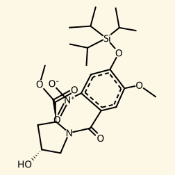 COC(=O)[C@@H]1C[C@@H](O)CN1C(=O)c1cc(OC)c(O[Si](C(C)C)(C(C)C)C(C)C)cc1[N+](=O)[O-]